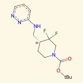 CC(C)(C)OC(=O)N1CC[C@H](CNc2cccnn2)C(F)(F)C1